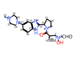 CCCCC(CN(O)C=O)C(=O)N1CCCC1c1nc2cc(N3CCN(C)CC3)ccc2[nH]1